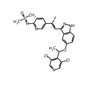 CC(Oc1ccc2[nH]nc(/C=C(\F)c3ccc(N=S(C)(C)=O)nc3)c2c1)c1c(Cl)cncc1Cl